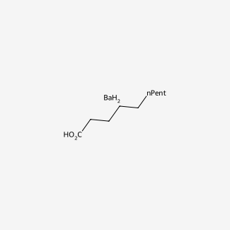 CCCCCCCCCC(=O)O.[BaH2]